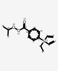 C=C[Si](C=C)(CC)c1ccc(C(=O)OO[C](C)C)cc1